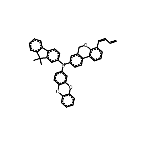 C=C/C=C\c1cccc2c1OCc1cc(N(c3ccc4c(c3)Oc3ccccc3O4)c3ccc4c(c3)C(C)(C)c3ccccc3-4)ccc1-2